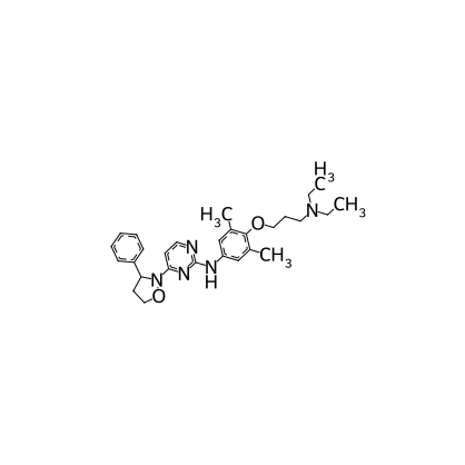 CCN(CC)CCCOc1c(C)cc(Nc2nccc(N3OCCC3c3ccccc3)n2)cc1C